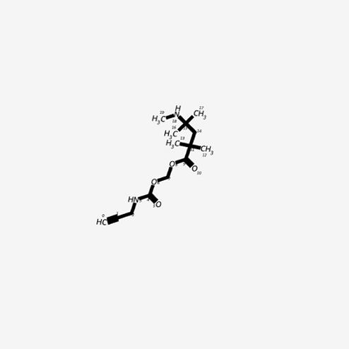 C#CCNC(=O)OCOC(=O)C(C)(C)CC(C)(C)NC